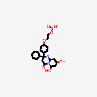 O=C1CC(c2ccccc2)(c2ccc(OCCO[N+](=O)[O-])cc2)N=C2C=C(O)C=C(O)N12